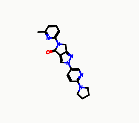 Cc1cccc(N2Cc3nn(-c4ccc(N5CCCC5)nc4)cc3C2=O)n1